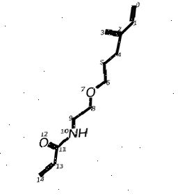 C=CC(=C)CCCOCCNC(=O)C=C